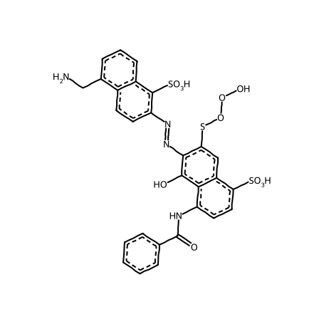 NCc1cccc2c(S(=O)(=O)O)c(N=Nc3c(SOOO)cc4c(S(=O)(=O)O)ccc(NC(=O)c5ccccc5)c4c3O)ccc12